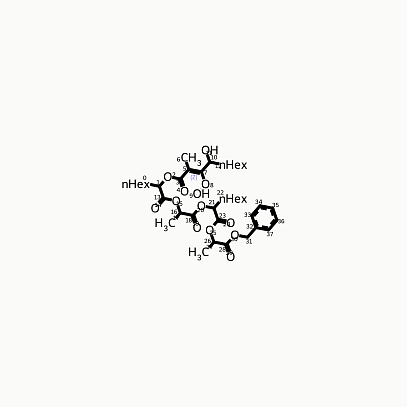 CCCCCCC(OC(=O)/C(C)=C(\OO)C(O)CCCCCC)C(=O)OC(C)C(=O)OC(CCCCCC)C(=O)OC(C)C(=O)OCc1ccccc1